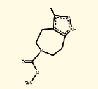 CC(C)(C)OC(=O)N1CCc2[nH]nc(I)c2CC1